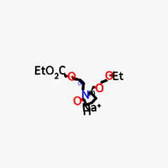 CCOCCOC[C@H]1CCCC(=O)N1C/C=C\COCC(=O)OCC.[H-].[Na+]